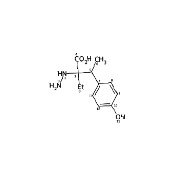 CCC(NN)(C(=O)O)C(C)c1ccc(O)cc1